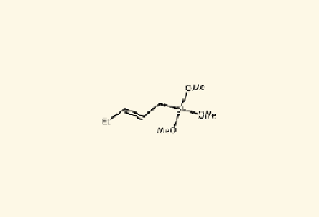 CCC=CC[Si](OC)(OC)OC